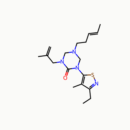 C=C(C)CN1CN(CCC=CC)CN(c2snc(CC)c2C)C1=O